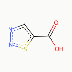 O=C(O)c1[c]nns1